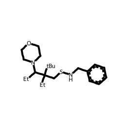 CCC(N1CCOCC1)C(CC)(CSNCc1ccccc1)C(C)(C)C